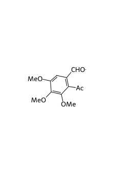 COc1cc([C]=O)c(C(C)=O)c(OC)c1OC